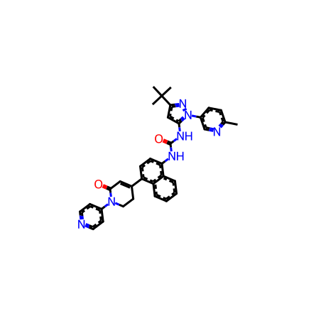 Cc1ccc(-n2nc(C(C)(C)C)cc2NC(=O)Nc2ccc(C3=CC(=O)N(c4ccncc4)CC3)c3ccccc23)cn1